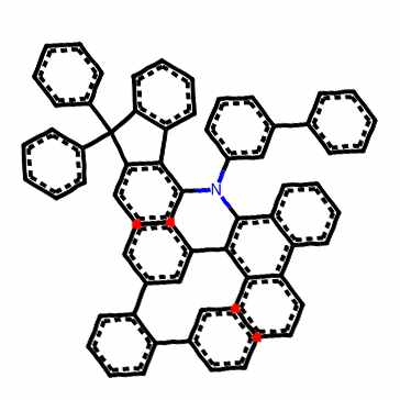 c1ccc(-c2cccc(N(c3cccc4c3-c3ccccc3C4(c3ccccc3)c3ccccc3)c3c(-c4cccc(-c5ccccc5-c5ccccc5)c4)c4ccccc4c4ccccc34)c2)cc1